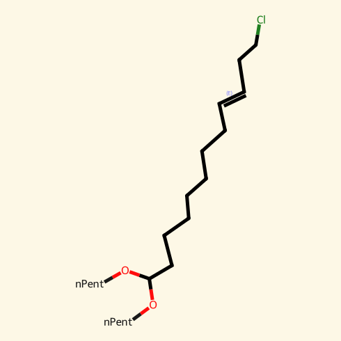 CCCCCOC(CCCCCCC/C=C/CCCl)OCCCCC